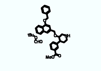 CC(C)(C)OC=O.COC(=O)c1cccc(C2CCNCC2OCc2cc(OCc3ccccc3)c3ccccc3c2)c1